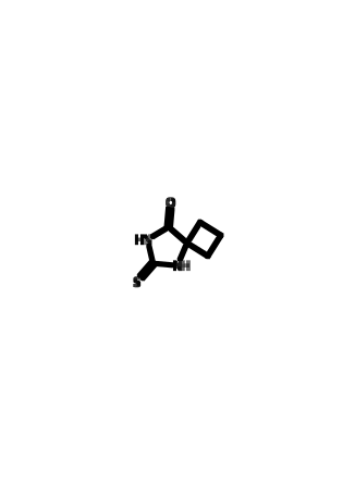 O=C1NC(=S)NC12CCC2